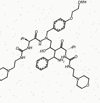 COCCOc1ccc(CN(CC(O)C(C(=O)[C@@H](NC(=O)NCCN2CCOCC2)C(C)C)C(N)c2ccccc2)NC(=O)[C@@H](NC(=O)NCCN2CCOCC2)C(C)C)cc1